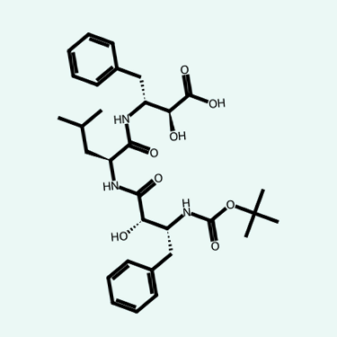 CC(C)C[C@H](NC(=O)[C@@H](O)[C@@H](Cc1ccccc1)NC(=O)OC(C)(C)C)C(=O)N[C@H](Cc1ccccc1)[C@H](O)C(=O)O